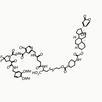 COc1ccc(CNC(=O)C(=O)C2CC(F)(F)CN2C(=O)CNC(=O)c2cc(CNC(=O)CCC(=O)NC(CSSCCOC(=O)N3CCC(NC(=O)O[C@H]4CC[C@]5(C)C6CC[C@]7(C)[C@@H](c8ccoc(=O)c8)CC[C@]7(O)[C@@H]6CC[C@@H]5C4)CC3)C(=O)O)ncc2Cl)cc1OC